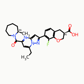 CCc1cc(C(=O)N2CCCCC[C@H]2C)nc2cc(-c3ccc4c(c3F)OC[C@H](C(=O)O)C4)nn12